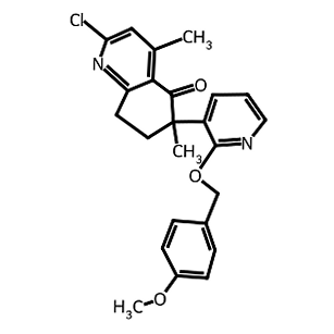 COc1ccc(COc2ncccc2C2(C)CCc3nc(Cl)cc(C)c3C2=O)cc1